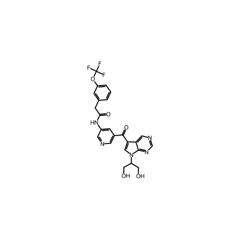 O=C(Cc1cccc(OC(F)(F)F)c1)Nc1cncc(C(=O)c2cn(C(CO)CO)c3ncncc23)c1